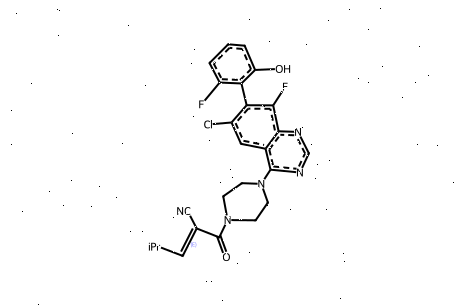 CC(C)/C=C(\C#N)C(=O)N1CCN(c2ncnc3c(F)c(-c4c(O)cccc4F)c(Cl)cc23)CC1